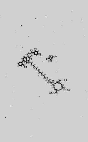 CCOc1ccc(C(=O)N2CCN(c3ccc(-c4ccccc4OCC)nc3CNCCCOCCOCCOCCOCCNC(=O)CN3CCN(CC(=O)[O-])CCN(CC(=O)[O-])CCN(CC(=O)O)CC3)[C@H](CC)C2)c(C(F)(F)F)c1.O=C([O-])C(F)(F)F.[In+3]